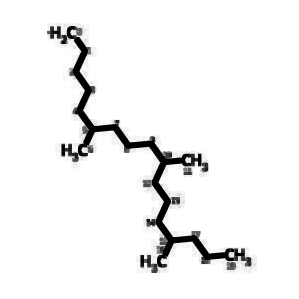 [CH2]CCCCC(C)CCCC(C)CCCC(C)CCC